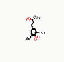 COC(O)CCc1cc(C(C)(C)C)c(O)c(C(C)(C)C)c1